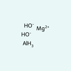 [AlH3].[Mg+2].[OH-].[OH-]